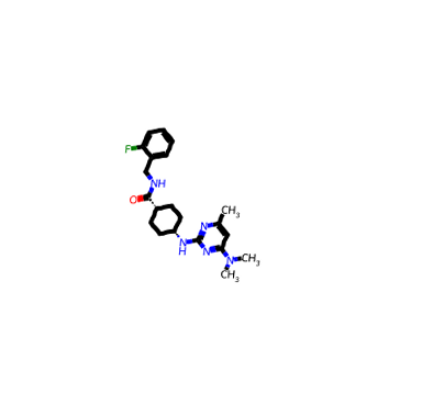 Cc1cc(N(C)C)nc(N[C@H]2CC[C@@H](C(=O)NCc3ccccc3F)CC2)n1